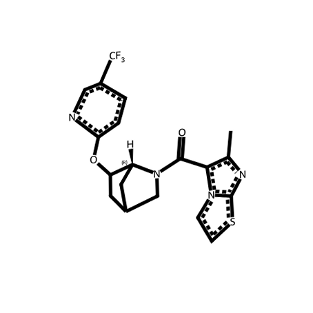 Cc1nc2sccn2c1C(=O)N1CC2CC(Oc3ccc(C(F)(F)F)cn3)[C@H]1C2